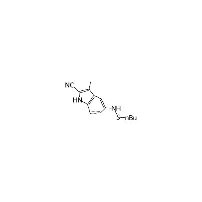 CCCCSNc1ccc2[nH]c(C#N)c(C)c2c1